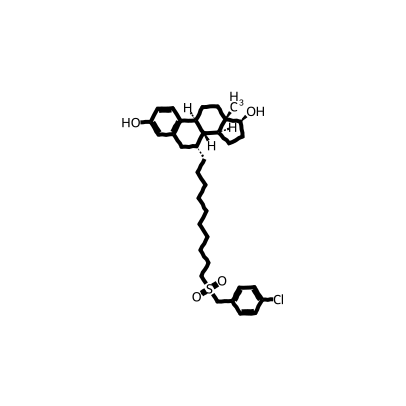 C[C@]12CC[C@@H]3c4ccc(O)cc4C[C@@H](CCCCCCCCCCS(=O)(=O)Cc4ccc(Cl)cc4)[C@H]3[C@@H]1CC[C@@H]2O